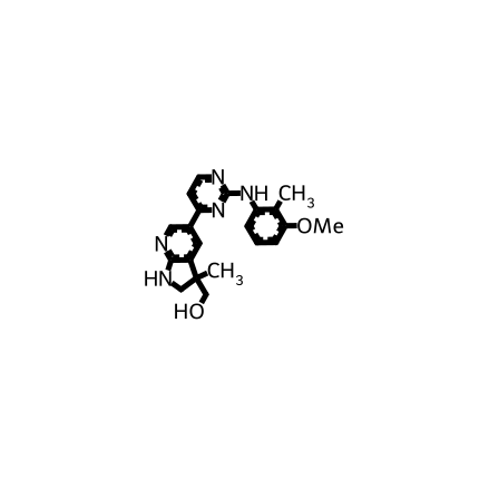 COc1cccc(Nc2nccc(-c3cnc4c(c3)C(C)(CO)CN4)n2)c1C